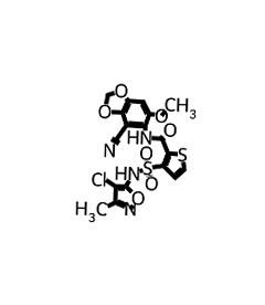 COc1cc2c(c(C#N)c1NC(=O)c1sccc1S(=O)(=O)Nc1onc(C)c1Cl)OCO2